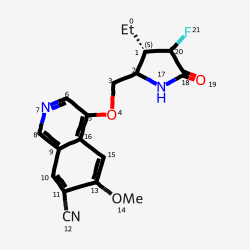 CC[C@H]1C(COc2cncc3cc(C#N)c(OC)cc23)NC(=O)C1F